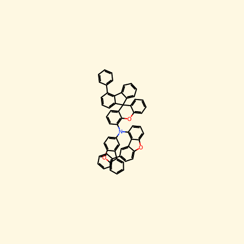 c1ccc(-c2ccc3oc4cccc(N(c5ccc6oc7ccccc7c6c5)c5cccc6c5Oc5ccccc5C65c6ccccc6-c6c(-c7ccccc7)cccc65)c4c3c2)cc1